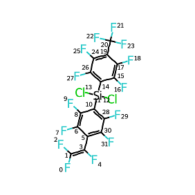 FC(F)=C(F)c1c(F)c(F)c([Si](Cl)(Cl)c2c(F)c(F)c(C(F)(F)F)c(F)c2F)c(F)c1F